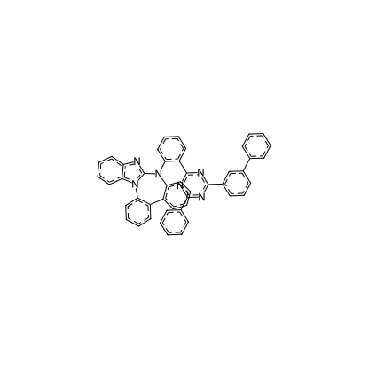 c1ccc(-c2cccc(-c3nc(-c4ccccc4)nc(-c4ccccc4N4c5ccccc5-c5ccccc5-n5c4nc4ccccc45)n3)c2)cc1